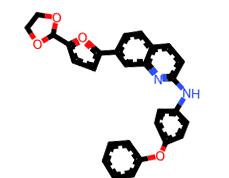 c1ccc(Oc2ccc(Nc3ccc4ccc(-c5ccc(C6OCCO6)o5)cc4n3)cc2)cc1